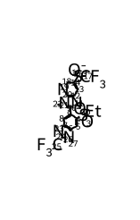 CCS(=O)(=O)c1cc2c(cc1-c1nc3cc([S+]([O-])C(F)(F)F)cnc3n1C)nc(C(F)(F)F)n2C